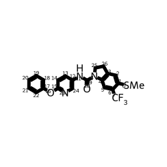 CSc1cc2c(cc1C(F)(F)F)N(C(=O)Nc1ccc(Oc3ccccc3)nc1)CC2